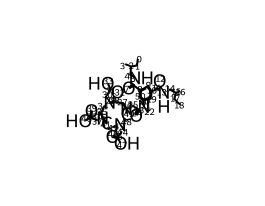 CCC(C)CNC(=O)c1cc(C(=O)NCC(C)CC)cc(N(C)C(=O)CN2CCN(CC(=O)O)CCN(CC(=O)O)CCN(CC(=O)O)CC2)c1